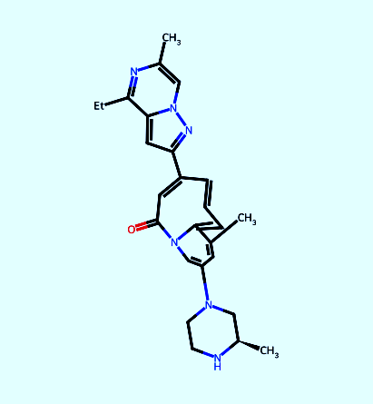 CCc1nc(C)cn2nc(C3=C\C(=O)N4C=C(N5CCN[C@H](C)C5)C=C(C)\C4=C/C=C/3)cc12